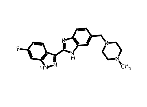 CN1CCN(Cc2ccc3nc(-c4n[nH]c5cc(F)ccc45)[nH]c3c2)CC1